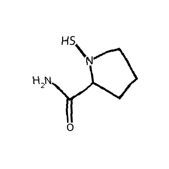 NC(=O)C1CCCN1S